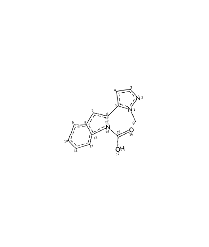 Cn1nccc1-c1cc2ccccc2n1C(=O)O